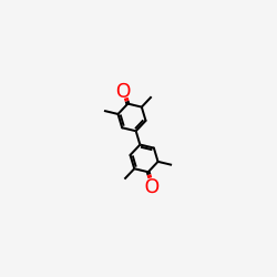 CC1=CC(C2=CC(C)C(=O)C(C)=C2)=CC(C)C1=O